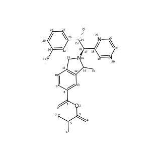 C=C(OC(=C)C(C)F)c1ccc2c(c1)C(C)N([C@H](c1cnccn1)[C@@H](C)c1cccc(F)c1)C2